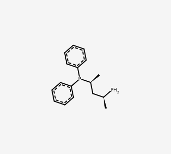 C[C@H](P)C[C@H](C)P(c1ccccc1)c1ccccc1